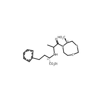 CCOC(=O)[C@H](CCc1ccccc1)NC(C)C(=O)N1CCCCSC[C@@H]1C(=O)O